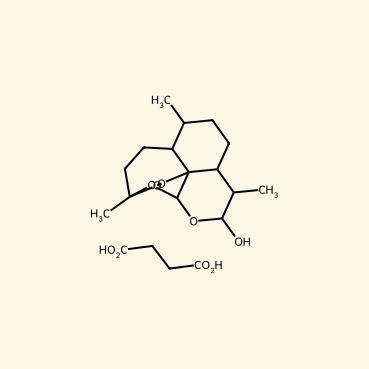 CC1CCC2C(C)C(O)OC3OC4(C)CCC1C32OO4.O=C(O)CCC(=O)O